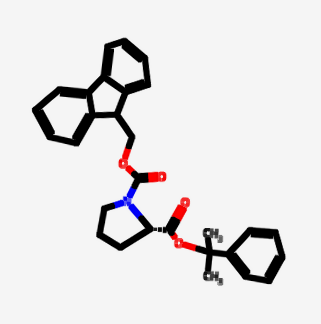 CC(C)(OC(=O)[C@@H]1CCCN1C(=O)OCC1c2ccccc2-c2ccccc21)c1ccccc1